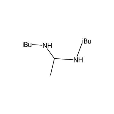 CCC(C)NC(C)NC(C)CC